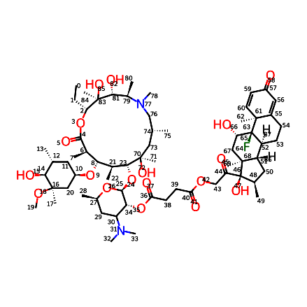 CC[C@H]1OC(=O)[C@H](C)[C@@H](O[C@@H]2C[C@@H](C)[C@H](O)[C@](C)(OC)C2)[C@H](C)[C@@H](O[C@@H]2O[C@H](C)CC(N(C)C)[C@H]2OC(=O)CCC(=O)OCC(=O)[C@@]2(O)[C@H](C)C[C@H]3[C@@H]4CCC5=CC(=O)C=C[C@]5(C)[C@@]4(F)[C@@H](O)C[C@@]32C)[C@](C)(O)C[C@@H](C)CN(C)[C@H](C)[C@@H](O)[C@]1(C)O